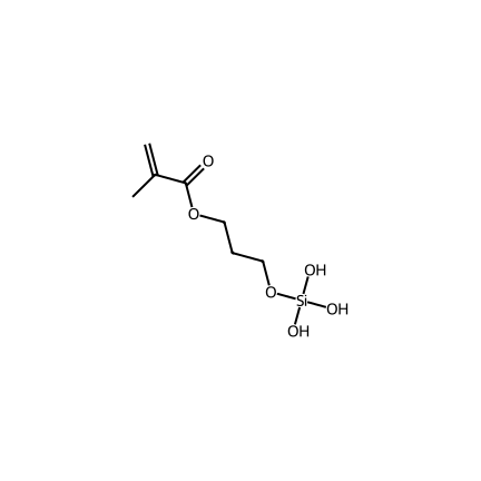 C=C(C)C(=O)OCCCO[Si](O)(O)O